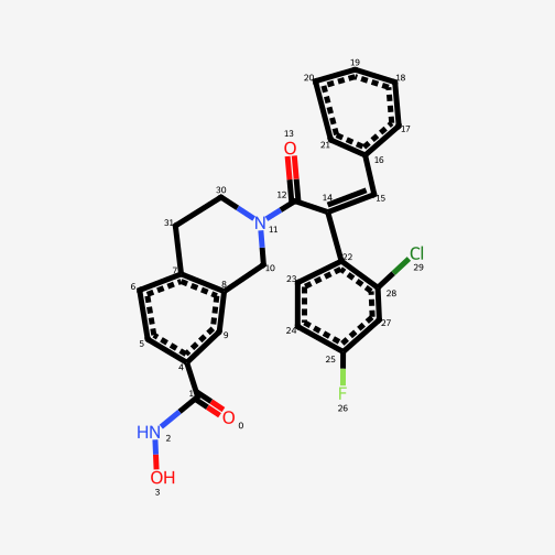 O=C(NO)c1ccc2c(c1)CN(C(=O)/C(=C\c1ccccc1)c1ccc(F)cc1Cl)CC2